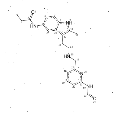 CCC(=O)Nc1ccc2[nH]c(C)c(CCNCc3cncc(NC=O)n3)c2c1